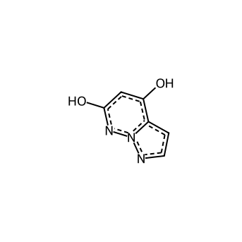 Oc1cc(O)c2ccnn2n1